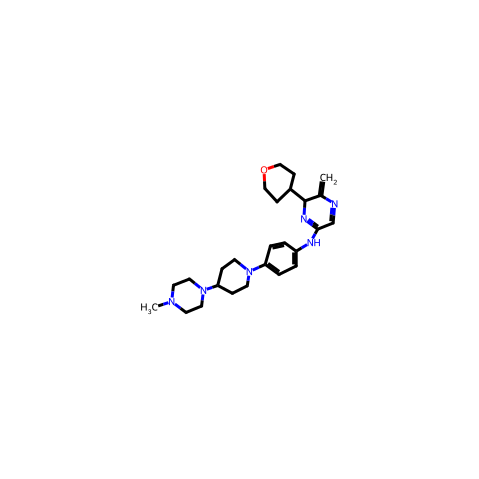 C=C1N=CC(Nc2ccc(N3CCC(N4CCN(C)CC4)CC3)cc2)=NC1C1CCOCC1